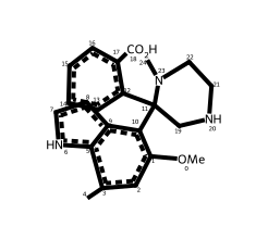 COc1cc(C)c2[nH]ccc2c1C1(c2ccccc2C(=O)O)CNCCN1C